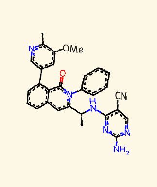 COc1cc(-c2cccc3cc([C@H](C)Nc4nc(N)ncc4C#N)n(-c4ccccc4)c(=O)c23)cnc1C